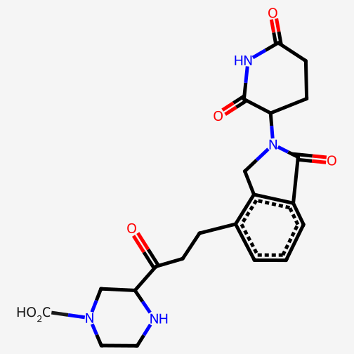 O=C1CCC(N2Cc3c(CCC(=O)C4CN(C(=O)O)CCN4)cccc3C2=O)C(=O)N1